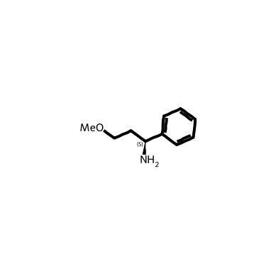 COCC[C@H](N)c1ccccc1